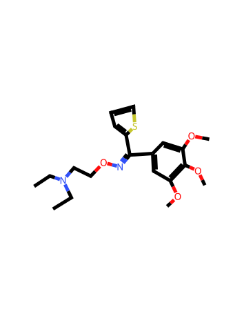 CCN(CC)CCON=C(c1cc(OC)c(OC)c(OC)c1)c1cccs1